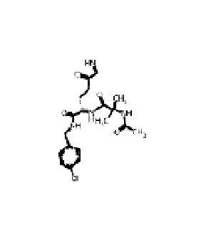 CC(=O)NC(C)(C)C(=O)N[C@@H](CCC(=O)C=N)C(=O)NCc1ccc(Cl)cc1